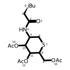 CC[C@H](C)CC(=O)NC1CSC(COC(C)=O)C(OC(C)=O)C1OC(C)=O